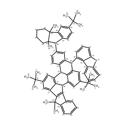 CC(C)(C)c1cc2c3c(c1)-n1c4c(c5cc(C(C)(C)C)cc(c51)B3c1ccc(N3c5ccc(C(C)(C)C)cc5C5(C)CCCCC35C)cc1N2c1cccc2sc3ccccc3c12)C(C)(C)c1ccccc1-4